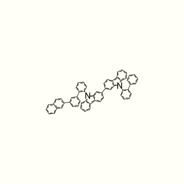 c1ccc(-c2ccccc2-n2c3ccccc3c3ccc(-c4ccc5c6ccccc6n(-c6ccccc6-c6cccc(-c7ccc8ccccc8c7)c6)c5c4)cc32)cc1